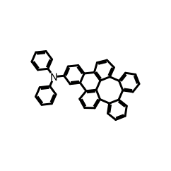 c1ccc(N(c2ccccc2)c2ccc3c(c2)c2cccc4c5ccccc5c5ccccc5c5cccc3c5c42)cc1